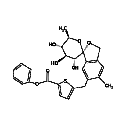 Cc1cc2c(cc1Cc1ccc(C(=O)Oc3ccccc3)s1)[C@]1(OC2)O[C@H](C)[C@@H](O)[C@H](O)[C@H]1O